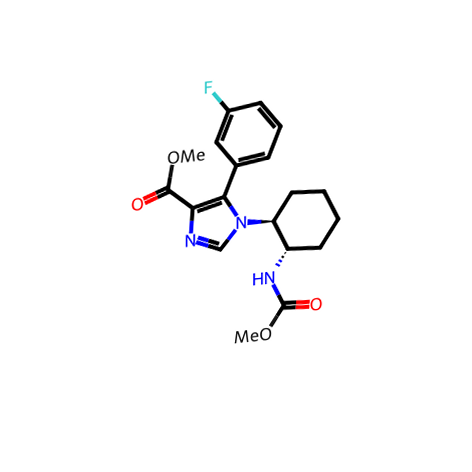 COC(=O)N[C@H]1CCCC[C@@H]1n1cnc(C(=O)OC)c1-c1cccc(F)c1